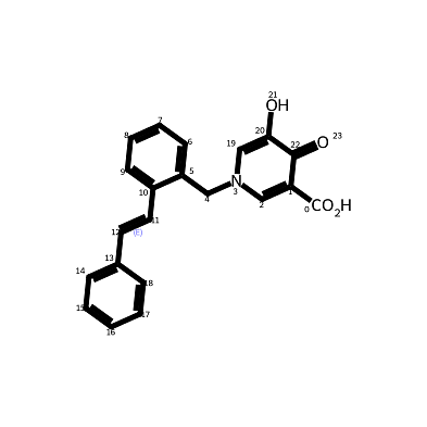 O=C(O)c1cn(Cc2ccccc2/C=C/c2ccccc2)cc(O)c1=O